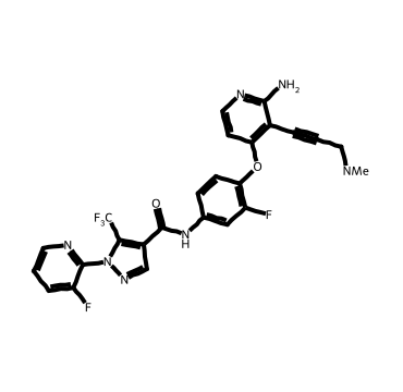 CNCC#Cc1c(Oc2ccc(NC(=O)c3cnn(-c4ncccc4F)c3C(F)(F)F)cc2F)ccnc1N